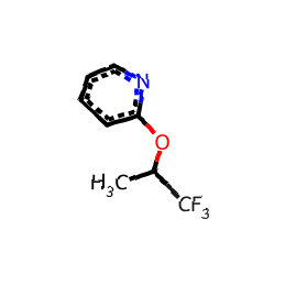 CC(Oc1ccccn1)C(F)(F)F